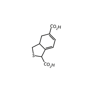 O=C(O)C1=CC=C2C(CSC2C(=O)O)C1